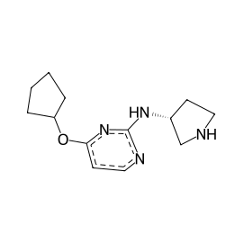 c1cc(OC2CCCC2)nc(N[C@@H]2CCNC2)n1